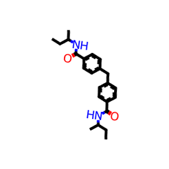 CCC(C)NC(=O)c1ccc(Cc2ccc(C(=O)NC(C)CC)cc2)cc1